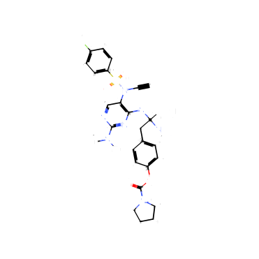 C#CN(c1cnc(N(CC)CC)nc1NC(N)(Cc1ccc(OC(=O)N2CCCC2)cc1)C(=O)O)S(=O)(=O)c1ccc(F)cc1